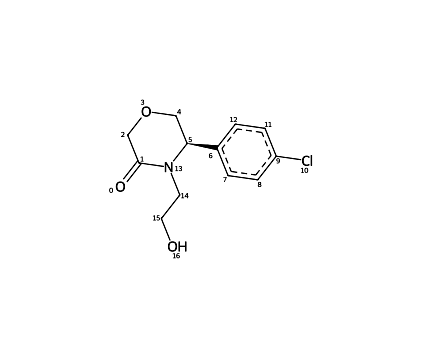 O=C1COC[C@@H](c2ccc(Cl)cc2)N1CCO